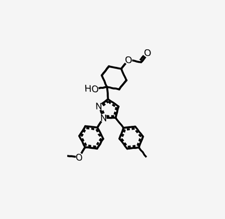 COc1ccc(-n2nc(C3(O)CCC(OC=O)CC3)cc2-c2ccc(C)cc2)cc1